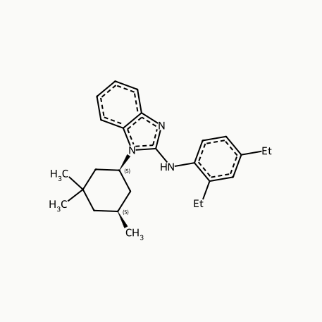 CCc1ccc(Nc2nc3ccccc3n2[C@H]2C[C@@H](C)CC(C)(C)C2)c(CC)c1